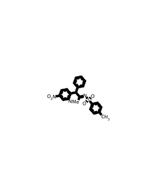 CNC(=NS(=O)(=O)c1ccc(C)cc1)C(c1ccccc1)c1ccc([N+](=O)[O-])cc1